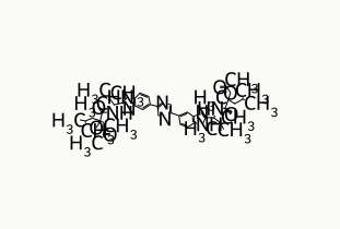 CC(=O)OC(C)(CC(C)C)C(=O)NC(c1nc2cc(-c3cnc(-c4ccc5[nH]c([C@@H](NC(=O)C(C)(CC(C)C)OC(C)=O)C(C)(C)C)nc5c4)cn3)ccc2[nH]1)C(C)(C)C